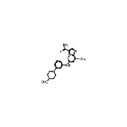 CNc1cc(Nc2cccc(N3CCC(C=O)CC3)c2)nn2c(C(N)=O)cnc12